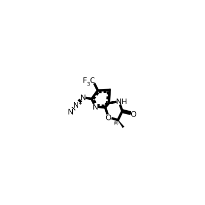 C[C@H]1Oc2nc(N=[N+]=[N-])c(C(F)(F)F)cc2NC1=O